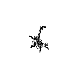 C#CC[N+](C)(C)CCCCOC1OC(COC(=O)CCC)[C@@H](OC(=O)CCC)[C@H](OC(=O)CCC)[C@H]1OC(=O)CCC